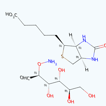 NO[C@H](C=O)[C@@H](O)[C@H](O)[C@H](O)CO.O=C(O)CCCC[C@@H]1SC[C@@H]2NC(=O)N[C@@H]21